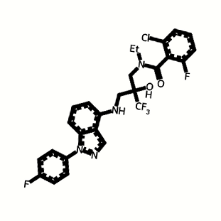 CCN(CC(O)(CNc1cccc2c1cnn2-c1ccc(F)cc1)C(F)(F)F)C(=O)c1c(F)cccc1Cl